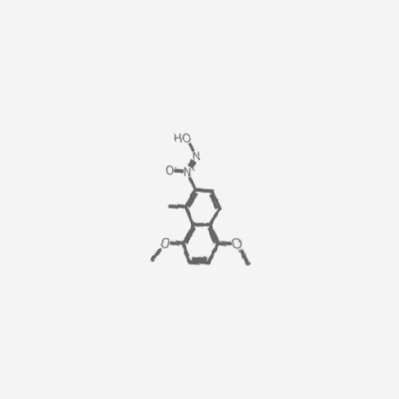 COc1ccc(OC)c2c(C)c([N+]([O-])=NO)ccc12